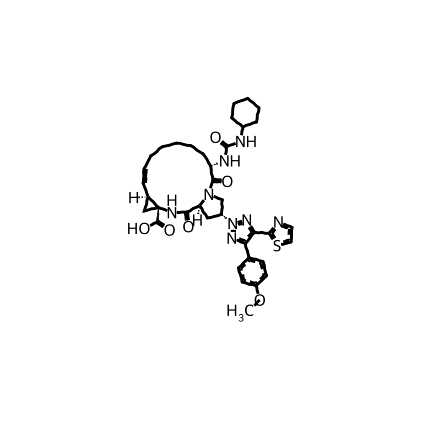 COc1ccc(-c2nn([C@@H]3C[C@H]4C(=O)N[C@]5(C(=O)O)C[C@H]5/C=C\CCCCC[C@H](NC(=O)NC5CCCCC5)C(=O)N4C3)nc2-c2nccs2)cc1